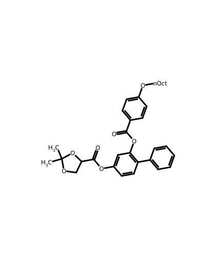 CCCCCCCCOc1ccc(C(=O)Oc2cc(OC(=O)C3COC(C)(C)O3)ccc2-c2ccccc2)cc1